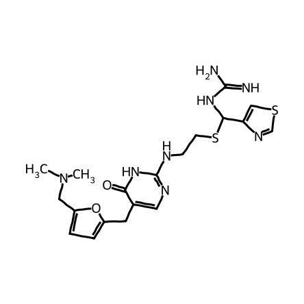 CN(C)Cc1ccc(Cc2cnc(NCCSC(NC(=N)N)c3cscn3)[nH]c2=O)o1